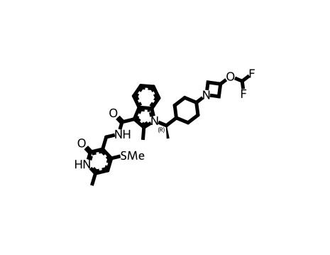 CSc1cc(C)[nH]c(=O)c1CNC(=O)c1c(C)n([C@H](C)C2CCC(N3CC(OC(F)F)C3)CC2)c2ccccc12